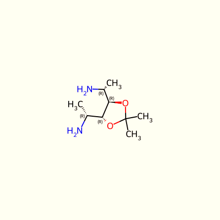 C[C@@H](N)[C@H]1OC(C)(C)O[C@@H]1[C@@H](C)N